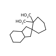 O=C(O)C1(C(=O)O)CCCCC12CC1CCCCC1C2